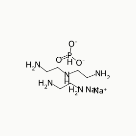 NCCN.NCCNCCN.O=[PH]([O-])[O-].[Na+].[Na+]